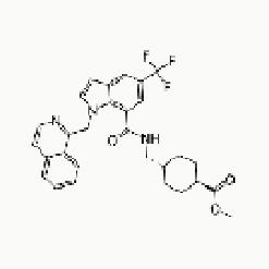 COC(=O)[C@H]1CC[C@H](CNC(=O)c2cc(C(F)(F)F)cc3ccn(Cc4nccc5ccccc45)c23)CC1